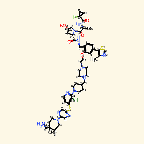 Cc1ncsc1-c1ccc(CNC(=O)[C@@H]2C[C@@H](O)CN2C(=O)[C@@H](NC(=O)C2(F)CC2)C(C)(C)C)c(OCCN2CCN(CC3CCN(c4nccc(Sc5cnc(N6CCC(C)(CN)CC6)cn5)c4Cl)CC3)CC2)c1